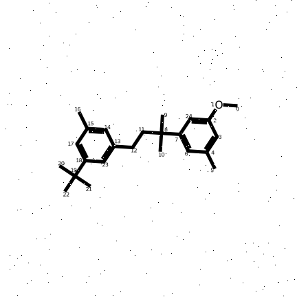 COc1cc(C)cc(C(C)(C)CCc2cc(C)cc(C(C)(C)C)c2)c1